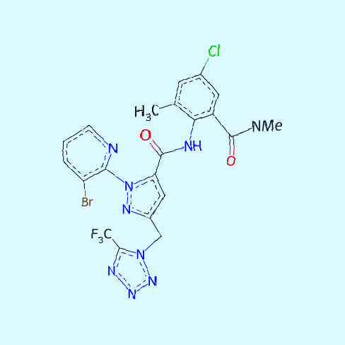 CNC(=O)c1cc(Cl)cc(C)c1NC(=O)c1cc(Cn2nnnc2C(F)(F)F)nn1-c1ncccc1Br